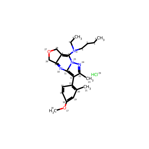 CCCCN(CC)c1c2c(nc3c(-c4ccc(OC)cc4C)c(C)nn13)COC2.Cl